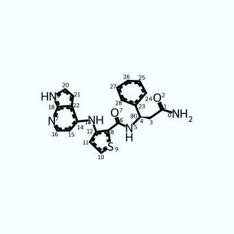 NC(=O)C[C@@H](NC(=O)c1sccc1Nc1ccnc2[nH]ccc12)c1ccccc1